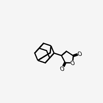 O=C1CC(C2C3CC4CC(C3)CC2C4)C(=O)O1